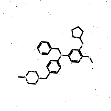 COc1ccc(N(Cc2cccnc2)c2ccc(CN3CCN(C)CC3)cc2)cc1OC1CCCC1